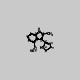 Cc1[nH]c2cccc(Cl)c2c1C1=NCCN1.Cl